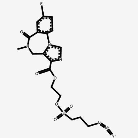 CN1Cc2c(C(=O)OCCOS(=O)(=O)CCCN=[N+]=[N-])ncn2-c2ccc(F)cc2C1=O